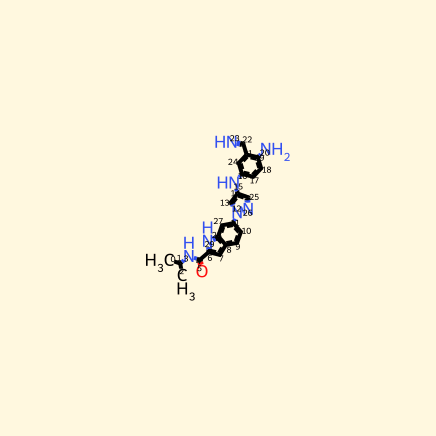 CC(C)NC(=O)c1cc2ccc(-n3cc(Nc4ccc(N)c(C=N)c4)cn3)cc2[nH]1